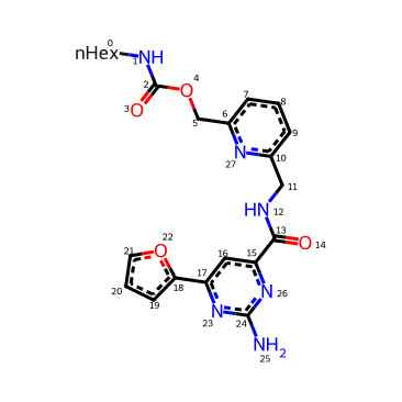 CCCCCCNC(=O)OCc1cccc(CNC(=O)c2cc(-c3ccco3)nc(N)n2)n1